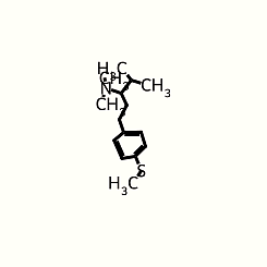 CSc1ccc(CCC(C(C)C)N(C)C)cc1